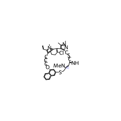 C=Cc1c2c3c(n1C)C(=C(Cl)CC3)c1c(nn(C)c1C)CSCC(=N)/C=C(\NC)CSc1cc(c3ccccc3c1)OCCC2